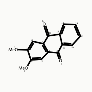 COc1cc2c(cc1OC)C(=O)c1ccccc1C2=O